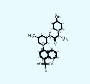 C[C@H]1C[C@@H](NC(=O)[C@@H](C)N2CCC(O)CC2)CN(c2ccc(C(F)(F)F)c3ncccc23)C1